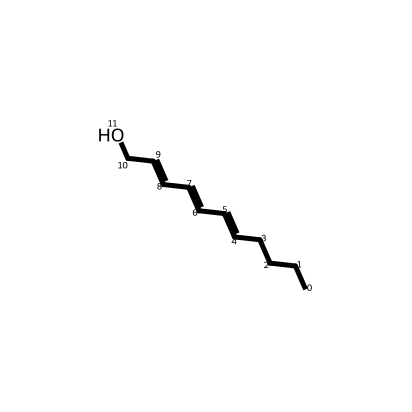 CCCCC=CC=C/C=C/CO